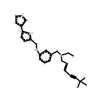 CCN(C/C=C/C#CC(C)(C)C)Cc1cccc(OCc2ccc(-c3ccsc3)s2)c1